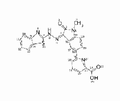 CN1C(=O)C(=NNc2nc3ccccc3s2)c2cc(-c3cccc(C(=O)O)n3)ccc21